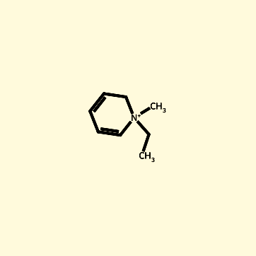 CC[N+]1(C)C=CC=CC1